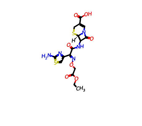 CCOC(=O)CON=C(C(=O)NC1C(=O)N2C=C(C(=O)O)CS[C@H]12)c1csc(N)n1